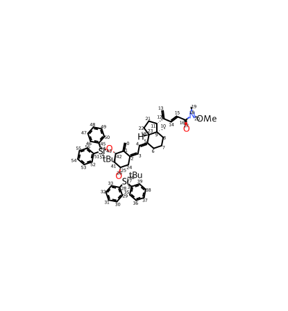 C=C1/C(=C\C=C2/CCC[C@]3(C)[C@@H](C(=C)/C=C/C(=O)N(C)OC)CC[C@@H]23)C[C@@H](O[Si](c2ccccc2)(c2ccccc2)C(C)(C)C)C[C@@H]1O[Si](c1ccccc1)(c1ccccc1)C(C)(C)C